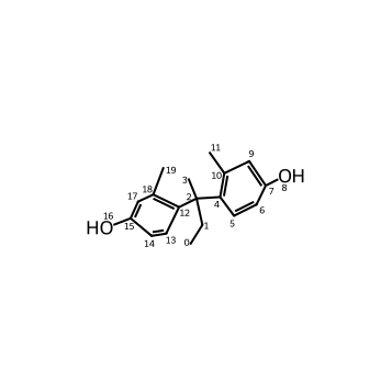 CCC(C)(c1ccc(O)cc1C)c1ccc(O)cc1C